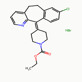 Br.CCOC(=O)N1CCC(=C2c3ccc(Cl)cc3CCc3cccnc32)CC1